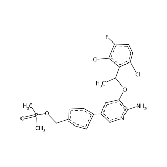 CC(Oc1cc(-c2ccc(COP(C)(C)=O)cc2)cnc1N)c1c(Cl)ccc(F)c1Cl